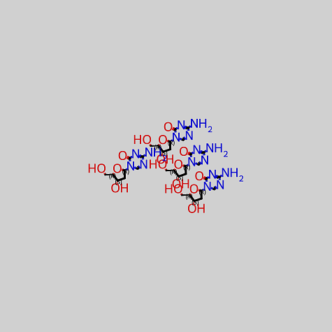 Nc1ncn([C@H]2C[C@H](O)[C@@H](CO)O2)c(=O)n1.Nc1ncn([C@H]2C[C@H](O)[C@@H](CO)O2)c(=O)n1.Nc1ncn([C@H]2C[C@H](O)[C@@H](CO)O2)c(=O)n1.Nc1ncn([C@H]2C[C@H](O)[C@@H](CO)O2)c(=O)n1